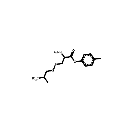 CC(=O)NC(CSSCC(C)C(=O)O)C(=O)Oc1ccc(C)cc1